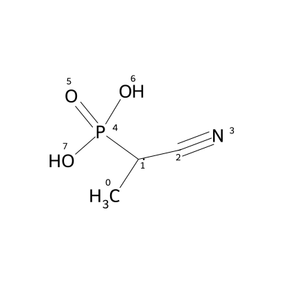 C[C](C#N)P(=O)(O)O